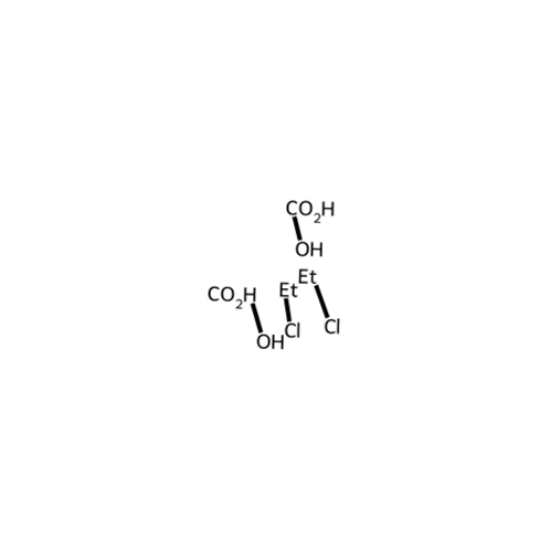 CCCl.CCCl.O=C(O)O.O=C(O)O